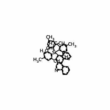 Cc1cc(C)c([Si](c2c(C)cc(C)cc2C)(c2c(C)cc(C)cc2C)c2cc3cnc4ccccc4c3c3ccccc23)c(C)c1